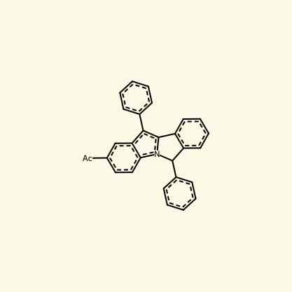 CC(=O)c1ccc2c(c1)c(-c1ccccc1)c1n2C(c2ccccc2)c2ccccc2-1